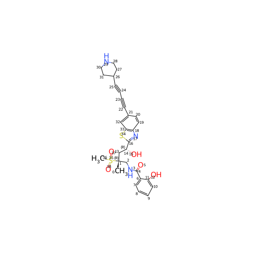 C[C@](CNC(=O)c1ccccc1O)(C[C@@H](O)c1nc2ccc(C#CC#CC3CCNCC3)cc2s1)S(C)(=O)=O